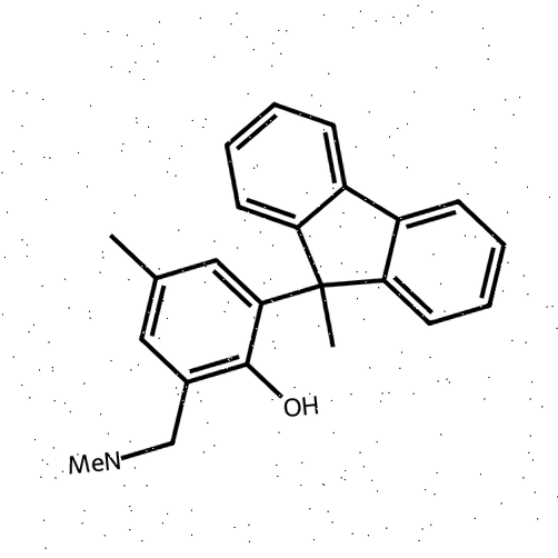 CNCc1cc(C)cc(C2(C)c3ccccc3-c3ccccc32)c1O